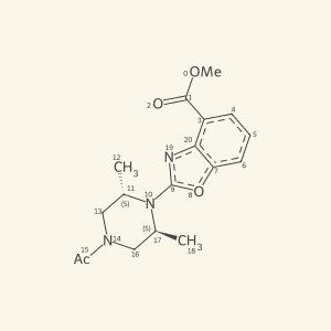 COC(=O)c1cccc2oc(N3[C@@H](C)CN(C(C)=O)C[C@@H]3C)nc12